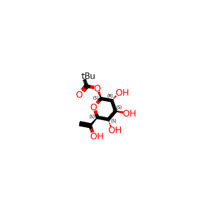 C=C(O)[C@H]1O[C@@H](OC(=O)C(C)(C)C)[C@H](O)[C@@H](O)[C@@H]1O